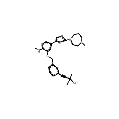 CNc1ncc(-c2cnc(N3CCCN(C)CC3)s2)cc1OCc1cccc(C#CC(C)(C)O)c1